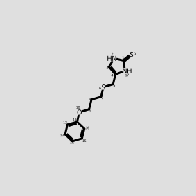 S=c1[nH]cc(CSCCCOc2ccccc2)[nH]1